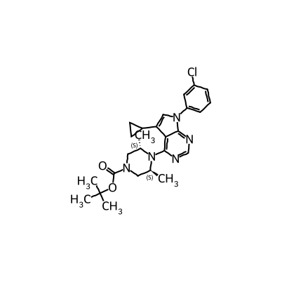 C[C@H]1CN(C(=O)OC(C)(C)C)C[C@H](C)N1c1ncnc2c1c(C1CC1)cn2-c1cccc(Cl)c1